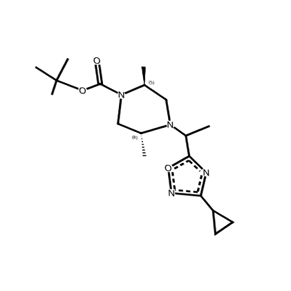 CC(c1nc(C2CC2)no1)N1C[C@H](C)N(C(=O)OC(C)(C)C)C[C@H]1C